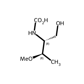 CO[C@H](C)[C@@H](CO)NC(=O)O